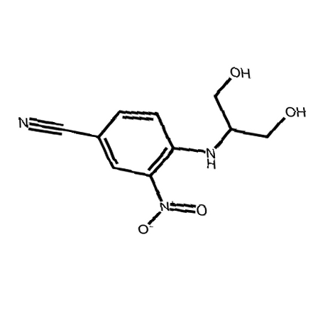 N#Cc1ccc(NC(CO)CO)c([N+](=O)[O-])c1